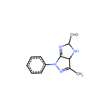 CC1=NN(c2ccccc2)C2=NC(C=O)NC12